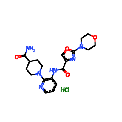 Cl.NC(=O)C1CCN(c2ncccc2NC(=O)c2coc(N3CCOCC3)n2)CC1